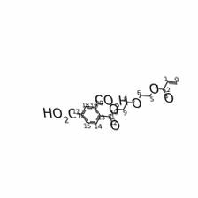 C=CC(=O)OCCOCCOC(=O)c1ccc(C(=O)O)cc1C(=O)O